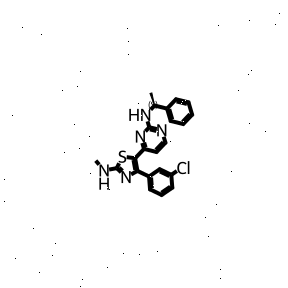 CNc1nc(-c2cccc(Cl)c2)c(-c2ccnc(N[C@@H](C)c3ccccc3)n2)s1